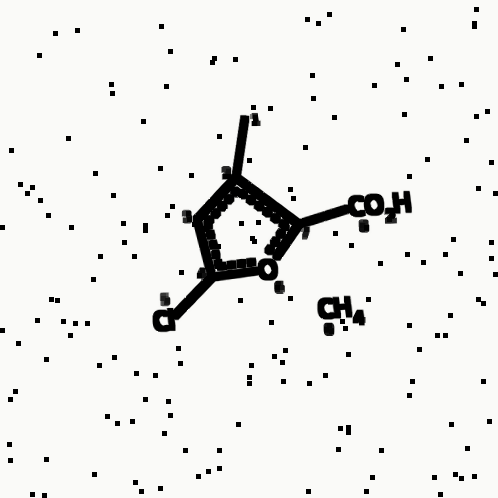 C.Cc1cc(Cl)oc1C(=O)O